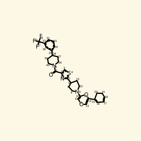 O=C(c1csc(C2CCN(C3=COC=C(C4=CC=CCC4)O3)CC2)n1)N1CCC(c2cccc(C(F)(F)F)c2)CC1